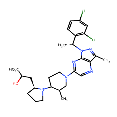 Cc1nn([C@H](C)c2ccc(Cl)cc2Cl)c2nc(N3CCC(N4CCC[C@H]4CC(O)C(=O)O)C(C)C3)cnc12